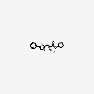 N[C@@H](Cc1ncc(-c2ccccc2)o1)C(=O)OC1CCCC1